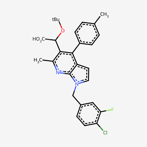 Cc1ccc(-c2c(C(OC(C)(C)C)C(=O)O)c(C)nc3c2ccn3Cc2ccc(Cl)c(F)c2)cc1